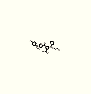 CN(c1ccc(Cl)cc1)c1ccc(C(=O)c2cc(C(=O)O)cc(N(CCCCO)c3ccccn3)c2)nc1